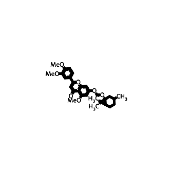 COc1ccc(-c2cc(=O)c3c(OC)cc(OCOC45CC(C)CCC4C5(C)C)cc3o2)cc1OC